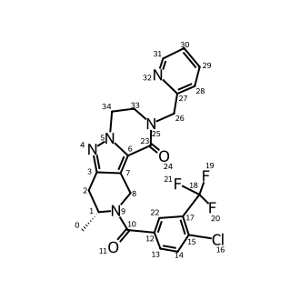 C[C@@H]1Cc2nn3c(c2CN1C(=O)c1ccc(Cl)c(C(F)(F)F)c1)C(=O)N(Cc1ccccn1)CC3